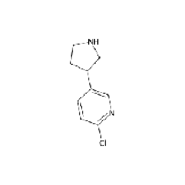 Clc1ccc(C2CCNC2)cn1